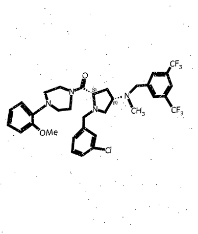 COc1ccccc1N1CCN(C(=O)[C@@H]2C[C@H](N(C)Cc3cc(C(F)(F)F)cc(C(F)(F)F)c3)CN2Cc2cccc(Cl)c2)CC1